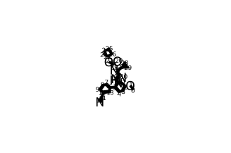 COc1ccc(-c2cccc(C#N)c2)n2nc(C(NC(=O)OC3CCCC3)C3CC3)nc12